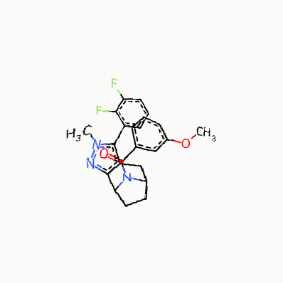 COc1cccc(C(=O)N2C3CCC2c2nn(C)c(-c4cccc(F)c4F)c2C3)c1